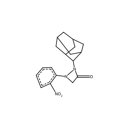 O=C1CN(c2ccccc2[N+](=O)[O-])N1C1C2CC3CC(C2)CC1C3